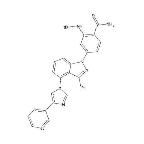 CC(C)c1nn(-c2ccc(C(N)=O)c(NC(C)(C)C)c2)c2cccc(-n3cnc(-c4cccnc4)c3)c12